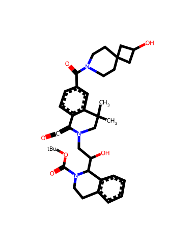 CC(C)(C)OC(=O)N1CCc2ccccc2C1C(O)CN1CC(C)(C)c2cc(C(=O)N3CCC4(CC3)CC(O)C4)ccc2C1=C=O